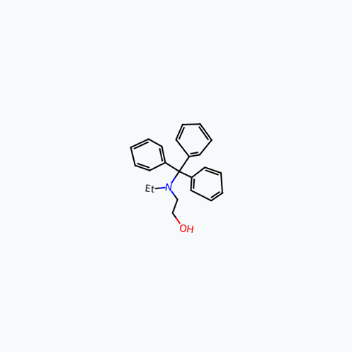 CCN(CCO)C(c1ccccc1)(c1ccccc1)c1ccccc1